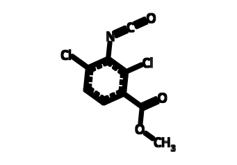 COC(=O)c1ccc(Cl)c(N=C=O)c1Cl